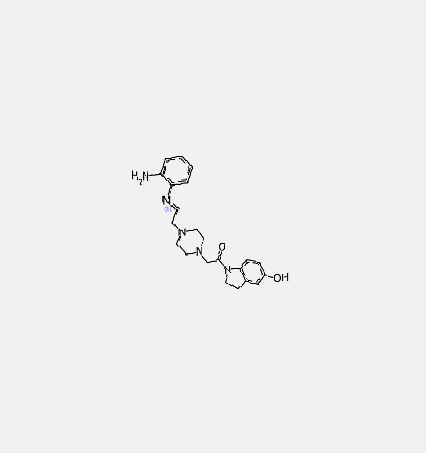 Nc1ccccc1/N=C/CN1CCN(CC(=O)N2CCc3cc(O)ccc32)CC1